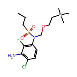 CCCS(=O)(=O)N(COCC[Si](C)(C)C)c1ccc(Cl)c(N)c1F